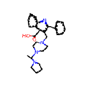 CC(N1CCCC1)N1CCN(Cc2c(-c3ccccc3)nc3ccccc3c2C(=O)O)CC1